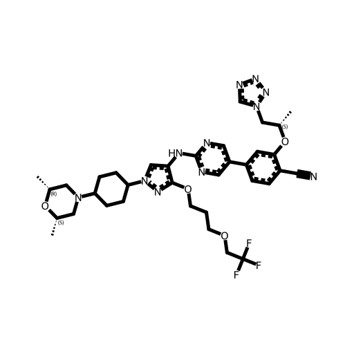 C[C@@H]1CN(C2CCC(n3cc(Nc4ncc(-c5ccc(C#N)c(O[C@@H](C)Cn6cnnn6)c5)cn4)c(OCCCOCC(F)(F)F)n3)CC2)C[C@H](C)O1